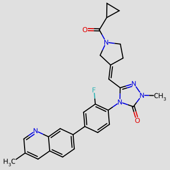 Cc1cnc2cc(-c3ccc(-n4c(/C=C5\CCN(C(=O)C6CC6)C5)nn(C)c4=O)c(F)c3)ccc2c1